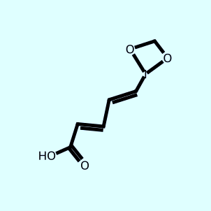 O=C(O)/C=C/C=C/I1OCO1